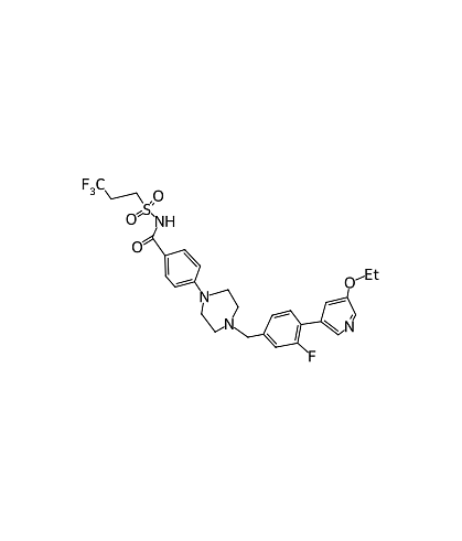 CCOc1cncc(-c2ccc(CN3CCN(c4ccc(C(=O)NS(=O)(=O)CCC(F)(F)F)cc4)CC3)cc2F)c1